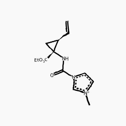 C=C[C@@H]1C[C@]1(NC(=O)n1cc[n+](C)c1)C(=O)OCC